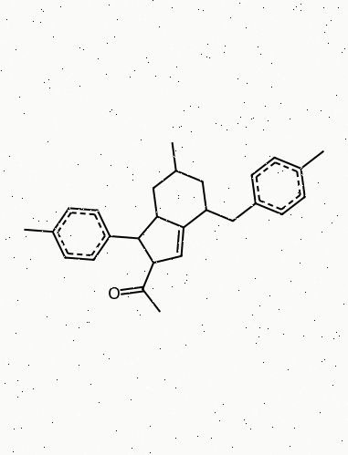 CC(=O)C1C=C2C(Cc3ccc(C)cc3)CC(C)CC2C1c1ccc(C)cc1